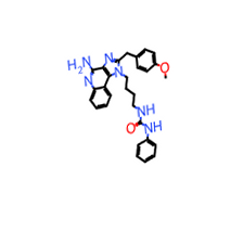 COc1ccc(Cc2nc3c(N)nc4ccccc4c3n2CCCCNC(=O)Nc2ccccc2)cc1